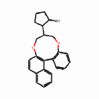 CCC1CCCC1C1COc2ccc3ccccc3c2-c2c(ccc3ccccc23)OC1